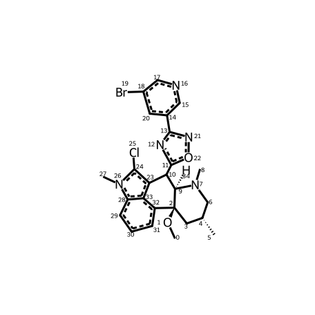 CO[C@]12C[C@@H](C)CN(C)[C@@H]1C(c1nc(-c3cncc(Br)c3)no1)c1c(Cl)n(C)c3cccc2c13